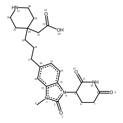 Cn1c(=O)n(C2CCC(=O)NC2=O)c2ccc(CCCC3(CC(=O)O)CCNCC3)cc21